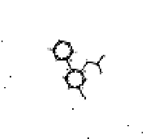 CC(C)Cc1cc([O])ccc1-c1ccccc1